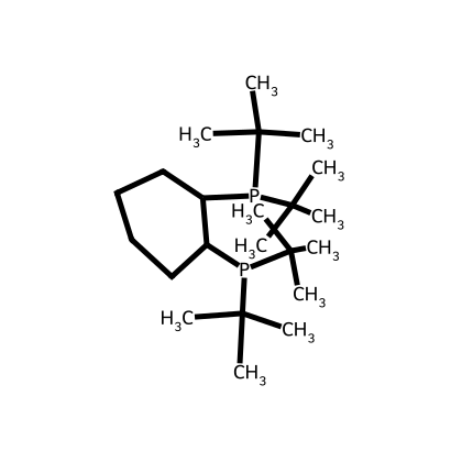 CC(C)(C)P(C1CCCCC1P(C(C)(C)C)C(C)(C)C)C(C)(C)C